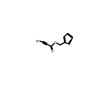 CC(C)C#CC(=O)OCc1ccccc1